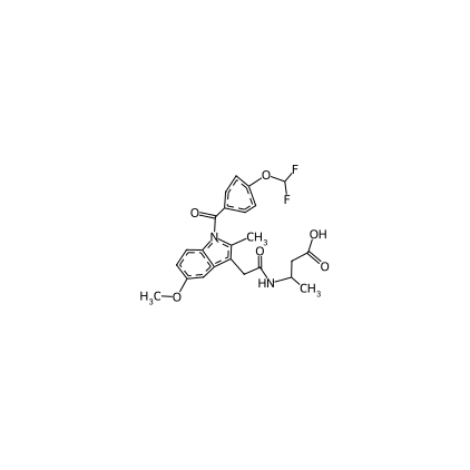 COc1ccc2c(c1)c(CC(=O)NC(C)CC(=O)O)c(C)n2C(=O)c1ccc(OC(F)F)cc1